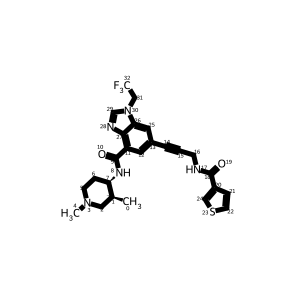 C[C@H]1CN(C)CC[C@@H]1NC(=O)c1cc(C#CCNC(=O)c2ccsc2)cc2c1ncn2CC(F)(F)F